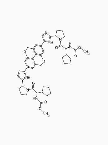 COC(=O)NC(C(=O)N1CCC[C@H]1c1ncc(-c2cc3c4c(c2)OCc2cc(-c5cnc([C@@H]6CCCN6C(=O)[C@@H](NC(=O)OC)C6CCCC6)[nH]5)cc(c2-4)OC3)[nH]1)C1CCCC1